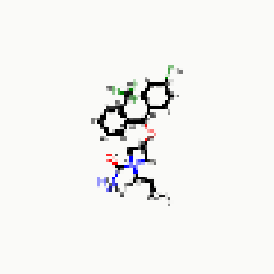 CCC(C)[N+]1(C(N)=O)CC(OC(c2ccc(F)cc2)c2ccccc2C(F)(F)F)C1